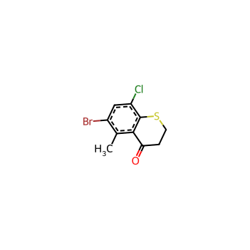 Cc1c(Br)cc(Cl)c2c1C(=O)CCS2